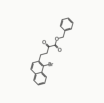 O=C(CCc1ccc2ccccc2c1Br)C(=O)OCc1ccccc1